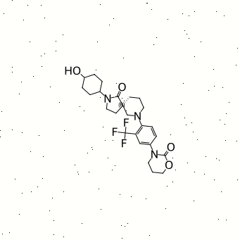 O=C1OCCCN1c1ccc(N2CCC[C@@]3(CCN(C4CCC(O)CC4)C3=O)C2)c(C(F)(F)F)c1